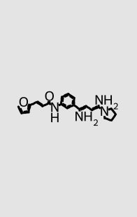 N/C(=C\C=C(/N)N1CCCC1)c1cccc(NC(=O)/C=C/c2ccco2)c1